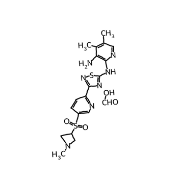 Cc1cnc(Nc2nc(-c3ccc(S(=O)(=O)C4CN(C)C4)cn3)ns2)c(N)c1C.O=CO